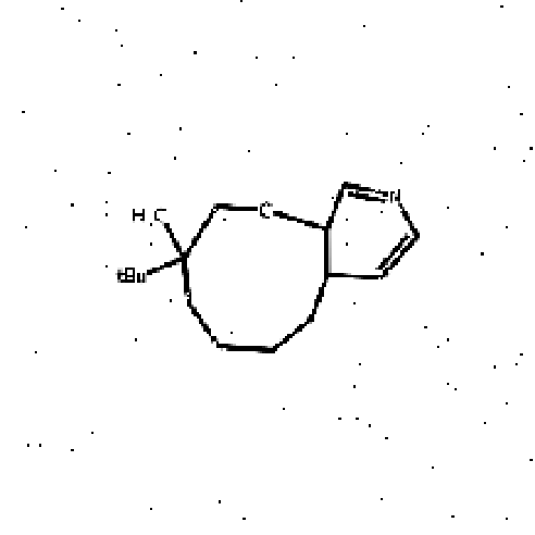 CC(C)(C)C1(C)CCCCC2C=CN=CC2CC1